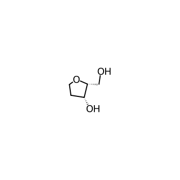 OC[C@H]1OCC[C@H]1O